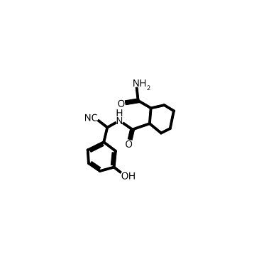 N#CC(NC(=O)C1CCCCC1C(N)=O)c1cccc(O)c1